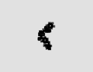 Cn1cncc1CN1CCN(C(=O)c2nnc(CNS(=O)(=O)c3ccccc3)o2)CC1